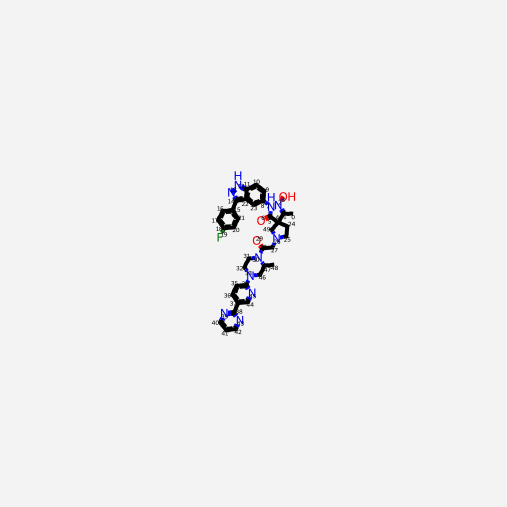 CC(=NO)C1(C(=O)Nc2ccc3[nH]nc(-c4ccc(F)cc4)c3c2)CCN(CC(=O)N2CCN(c3ccc(-c4ncccn4)cn3)CC2C)C1